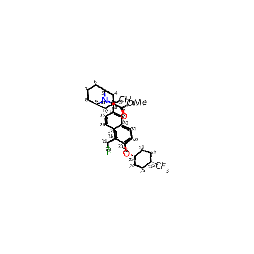 COC(=O)C1CC2CCCC(C1)N2C(C)c1ccc2c(CF)c(O[C@H]3CC[C@@H](C(F)(F)F)CC3)ccc2c1